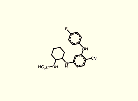 N#Cc1ccc(NC2CCCCC2NC(=O)O)cc1Nc1ccc(F)cc1